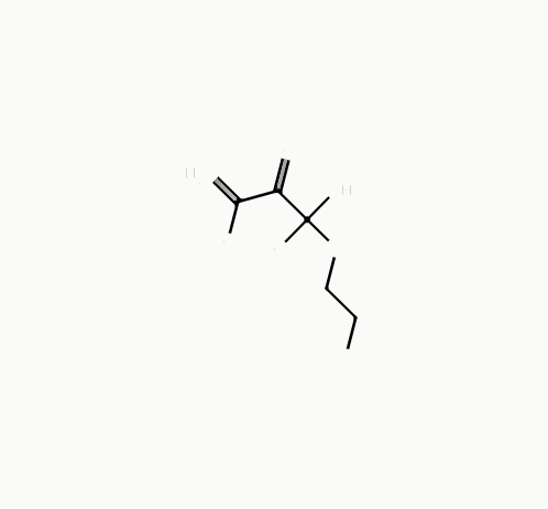 C=C(C)C(=O)C(C)(C)OCCO